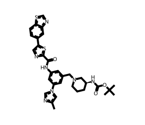 Cc1cn(-c2cc(CN3CCC[C@H](NC(=O)OC(C)(C)C)C3)cc(NC(=O)c3ncc(-c4ccc5scnc5c4)s3)c2)cn1